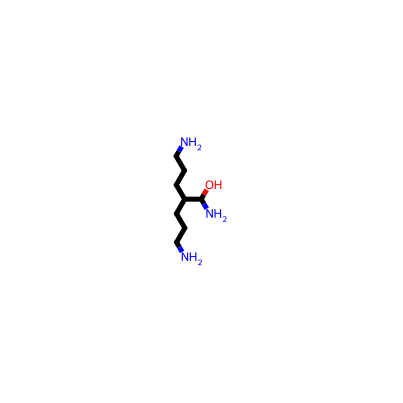 NCCCC(CCCN)C(N)O